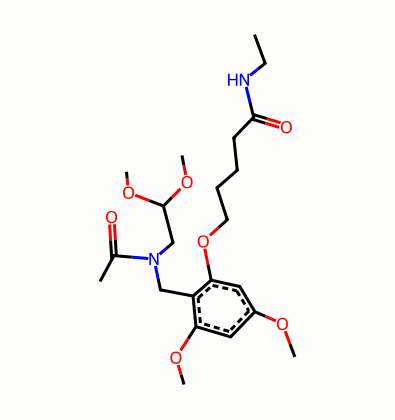 CCNC(=O)CCCCOc1cc(OC)cc(OC)c1CN(CC(OC)OC)C(C)=O